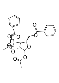 CC(=O)O[C@H]1O[C@H](COC(=O)c2ccccc2)[C@](OC(=O)c2ccccc2)(C(F)(F)F)[C@H]1OC(C)=O